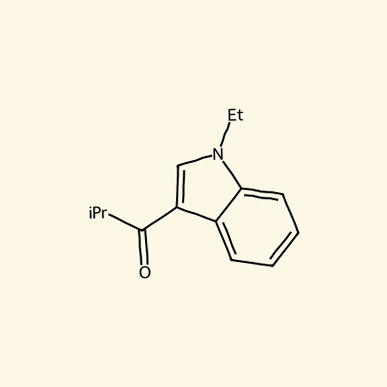 CCn1cc(C(=O)C(C)C)c2ccccc21